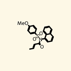 CC=CC(=O)N(c1cccc2ccccc12)S(=O)(=O)c1ccc(OC)cc1